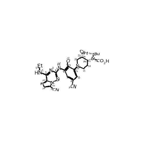 CCNc1nc(Nc2cc(C#N)cc(N3CC[C@@H](N(C(=O)O)C(C)(C)C)[C@@H](O)C3)c2Cl)nn2c(C#N)cnc12